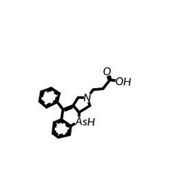 O=C(O)CCN1CC2=C(c3ccccc3)c3ccccc3[AsH]C2C1